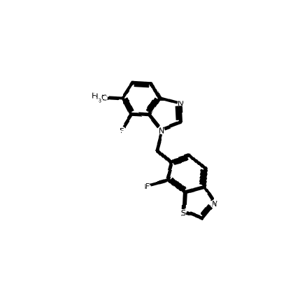 Cc1ccc2ncn(Cc3ccc4ncsc4c3F)c2c1F